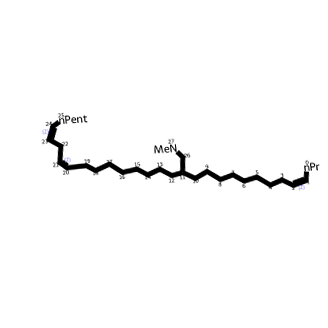 CCC/C=C\CCCCCCCCC(CCCCCCCC/C=C\C/C=C\CCCCC)CNC